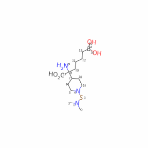 CN(C)SN1CCC(C(N)(CCCCB(O)O)C(=O)O)CC1